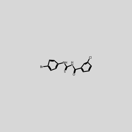 O=C(NC(=S)Nc1ccc(Br)cc1)c1cccc(Cl)c1